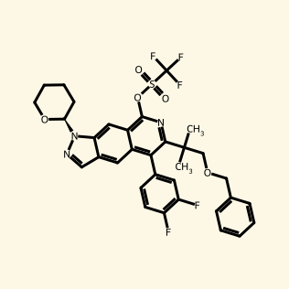 CC(C)(COCc1ccccc1)c1nc(OS(=O)(=O)C(F)(F)F)c2cc3c(cnn3[C@@H]3CCCCO3)cc2c1-c1ccc(F)c(F)c1